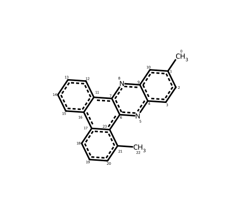 Cc1ccc2nc3c(nc2c1)c1ccccc1c1cccc(C)c13